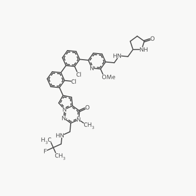 COc1nc(-c2cccc(-c3cccc(-c4cc5c(=O)n(C)c(CNCC(C)(C)F)nn5c4)c3Cl)c2Cl)ccc1CNCC1CCC(=O)N1